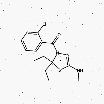 CCC1(CC)SC(NC)=NN1C(=O)c1ccccc1Cl